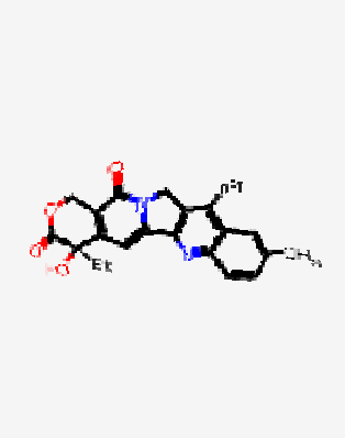 CCCc1c2c(nc3ccc(C)cc13)-c1cc3c(c(=O)n1C2)COC(=O)[C@]3(O)CC